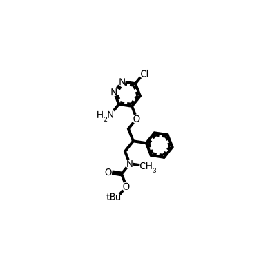 CN(CC(COc1cc(Cl)nnc1N)c1ccccc1)C(=O)OC(C)(C)C